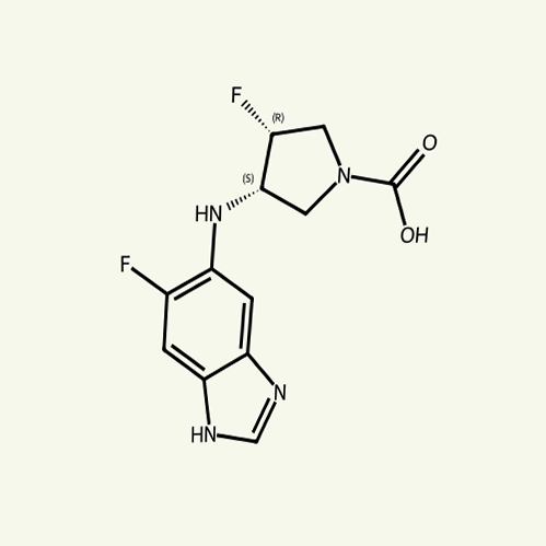 O=C(O)N1C[C@@H](F)[C@@H](Nc2cc3nc[nH]c3cc2F)C1